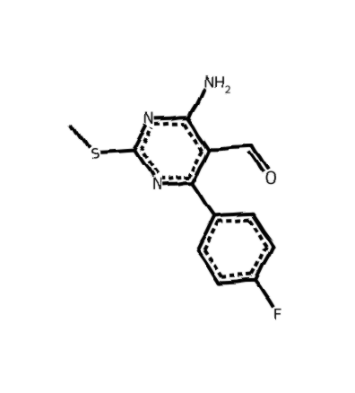 CSc1nc(N)c(C=O)c(-c2ccc(F)cc2)n1